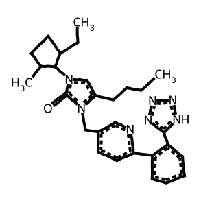 CCCCc1cn(C2C(C)CCC2CC)c(=O)n1Cc1ccc(-c2ccccc2-c2nnn[nH]2)nc1